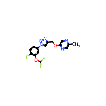 Cc1cnc(OCc2cn(-c3ccc(F)c(OC(F)F)c3)nn2)cn1